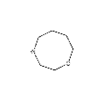 C1CCOCC[N]C1